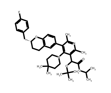 Cc1nc(C)c(C(OC(C)(C)C)C(=O)OC(C)C)c(N2CCC(C)(C)CC2)c1-c1ccc2c(c1)CC[C@H](Cc1ccc(F)cc1)O2